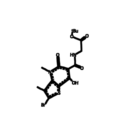 Cc1c(Br)sc2c(O)c(C(=O)NCC(=O)OC(C)(C)C)c(=O)n(C)c12